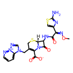 CO/N=C(\C(=O)NC1C(=O)N2C(C(=O)[O-])=C(Cn3cn[n+]4ncccc34)CS[C@H]12)c1csc(N)n1